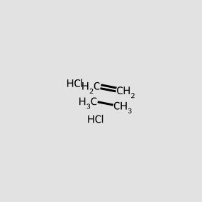 C=C.CC.Cl.Cl